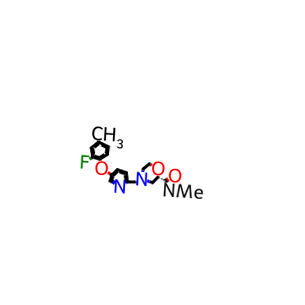 CNC(=O)[C@@H]1CN(Cc2ccc(Oc3ccc(C)cc3F)cn2)CCO1